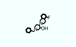 OC1CN(Cc2ccccc2)CCC1N1CCc2c(F)cccc2C1